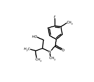 Cc1cc(C(=O)N(C)C(CO)C(C)C)ccc1F